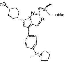 COC[C@H](C)Nc1ncc2c(-c3ccc([C@@H](C)N4CCCC4)cc3)cc([C@H]3CC[C@H](O)CC3)n2n1